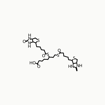 C=C1NC2CSC(CCCCC(=O)SCCC(CCCCC(=O)O)SC(=O)CCCCC3SCC4NC(=O)NC43)C2N1